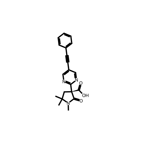 CN1C(=O)[C@@](C(=O)O)(c2ncc(C#Cc3ccccc3)cn2)CC1(C)C